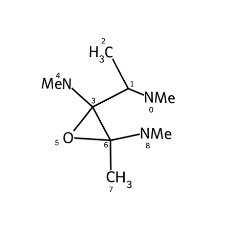 CNC(C)C1(NC)OC1(C)NC